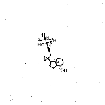 [2H]C([2H])([2H])C(O)(C#CCC1(C2=CCC3[C@@H](O)CCC[C@]23C)CC1)C([2H])([2H])[2H]